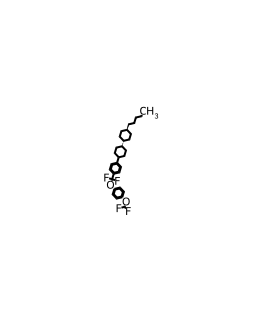 CCCCC[C@H]1CC[C@H](C2CCC(c3ccc(C(F)(F)Oc4ccc(OC(F)F)cc4)cc3)CC2)CC1